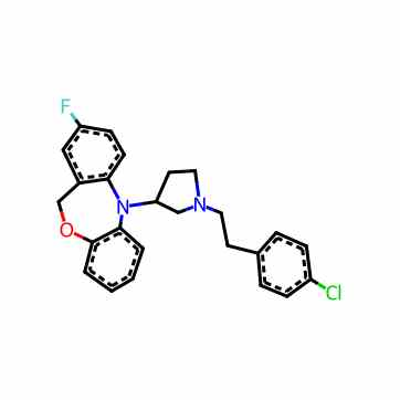 Fc1ccc2c(c1)COc1ccccc1N2C1CCN(CCc2ccc(Cl)cc2)C1